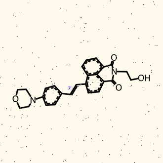 O=C1c2cccc3c(/C=C/c4ccc(N5CCOCC5)cc4)ccc(c23)C(=O)N1CCO